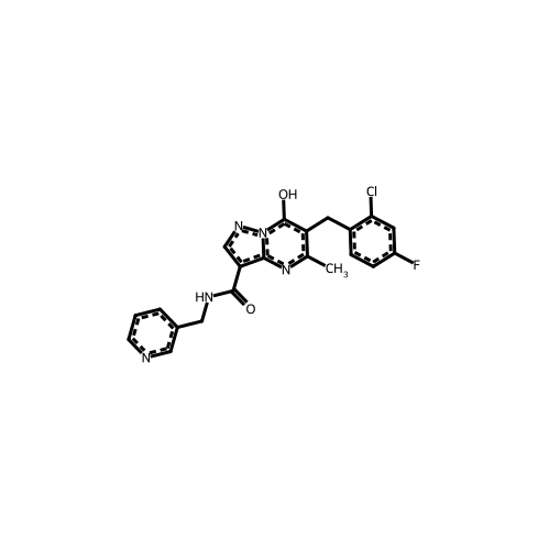 Cc1nc2c(C(=O)NCc3cccnc3)cnn2c(O)c1Cc1ccc(F)cc1Cl